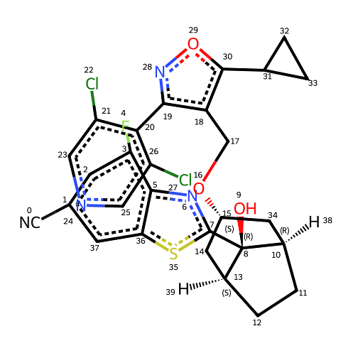 N#Cc1cc(F)c2nc([C@]3(O)[C@@H]4CC[C@H]3C[C@H](OCc3c(-c5c(Cl)cncc5Cl)noc3C3CC3)C4)sc2c1